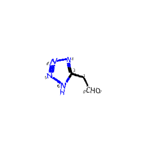 O=[C]Cc1nnn[nH]1